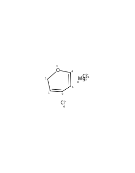 C1=CCOC=C1.[Cl-].[Cl-].[Mg+2]